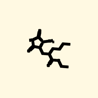 CCCCC(CC1C(=O)NC(=O)N1N)C(=O)OCC